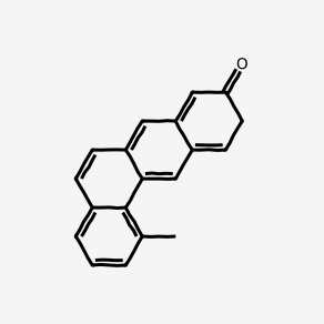 Cc1cccc2ccc3cc4c(cc3c12)=CCC(=O)C=4